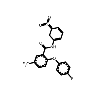 O=C(NC1=CC=CC(=S(=O)=O)C1)c1cc(C(F)(F)F)ccc1Oc1ccc(F)cc1